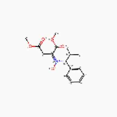 COC(=O)C/C(C(=O)OC)=[N+](\[O-])C(c1ccccc1)C(C)C